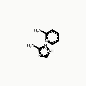 Nc1ccccn1.Nc1nc[nH]n1